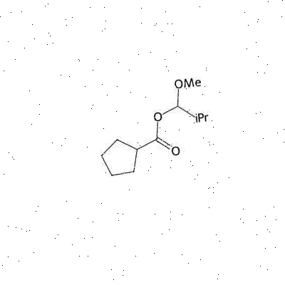 COC(OC(=O)C1CCCC1)C(C)C